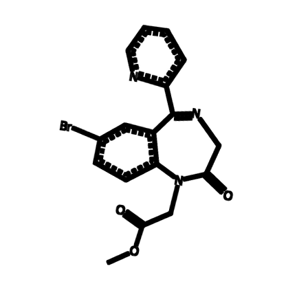 COC(=O)CN1C(=O)CN=C(c2ccccn2)c2cc(Br)ccc21